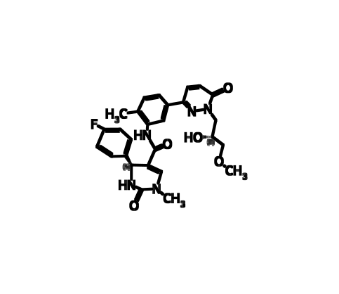 COC[C@H](O)Cn1nc(-c2ccc(C)c(NC(=O)C3=CN(C)C(=O)N[C@H]3c3ccc(F)cc3)c2)ccc1=O